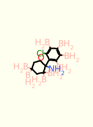 Bc1c(B)c(B)c(C2(N)C(=O)CC(B)(B)CC2(B)B)c(Cl)c1B